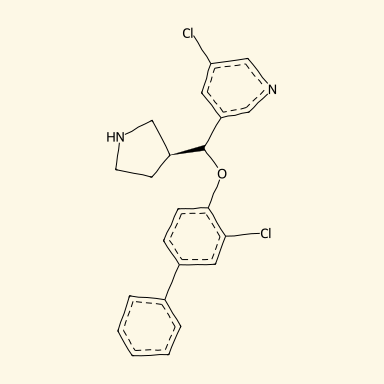 Clc1cncc(C(Oc2ccc(-c3ccccc3)cc2Cl)[C@H]2CCNC2)c1